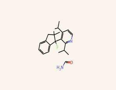 CC(C)c1ccnc(C(C)C)c1C1(F)c2ccccc2CC1(C)C.NC=O